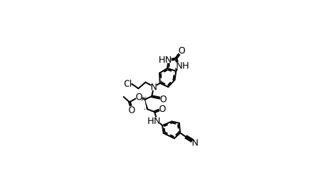 CC(=O)O[C@H]([CH]C(=O)Nc1ccc(C#N)cc1)C(=O)N(CCCl)c1ccc2[nH]c(=O)[nH]c2c1